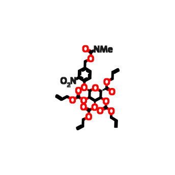 C=CCOC(=O)O[C@@H]1[C@@H](OC(=O)OCC=C)[C@H](Oc2ccc(COC(=O)NC)cc2[N+](=O)[O-])O[C@H](C(=O)OCC=C)[C@H]1OC(=O)OCC=C